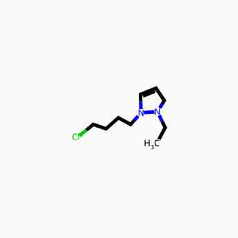 CCN1CC=CN1CCCCCl